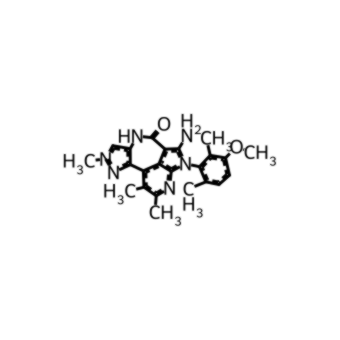 COc1ccc(C)c(-n2c(N)c3c4c(c(C)c(C)nc42)-c2nn(C)cc2NC3=O)c1C